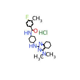 Cc1cc(C(=O)NC2CCC(Nc3nc4c(c(N(C)C)n3)CCCC4)CC2)ccc1F.Cl